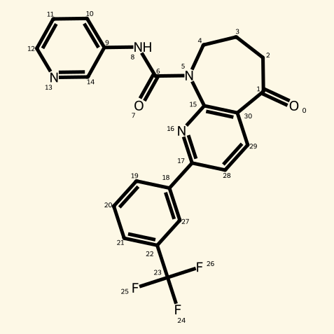 O=C1CCCN(C(=O)Nc2cccnc2)c2nc(-c3cccc(C(F)(F)F)c3)ccc21